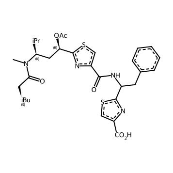 CC[C@H](C)CC(=O)N(C)[C@H](C[C@@H](OC(C)=O)c1nc(C(=O)NC(Cc2ccccc2)c2nc(C(=O)O)cs2)cs1)C(C)C